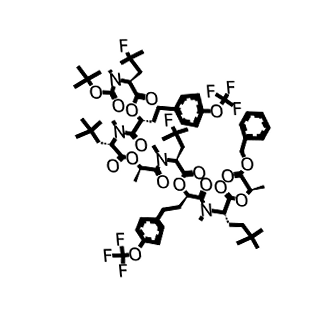 C[C@@H](OC(=O)[C@H](CCC(C)(C)C)N(C)C(=O)[C@@H](CCc1ccc(OC(F)(F)F)cc1)OC(=O)[C@H](CC(C)(C)F)N(C)C(=O)[C@@H](C)OC(=O)[C@H](CC(C)(C)C)N(C)C(=O)[C@@H](CCc1ccc(OC(F)(F)F)cc1)OC(=O)[C@H](CC(C)(C)F)N(C)C(=O)OC(C)(C)C)C(=O)OCc1ccccc1